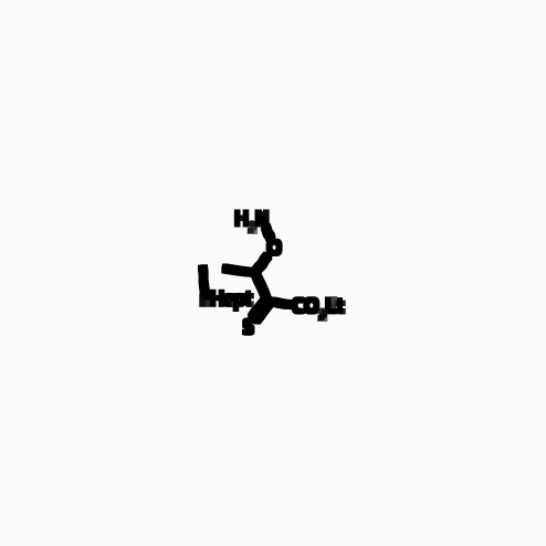 CCCCCCCC.CCOC(=O)C(=S)C(C)ON